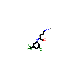 CNCCCC(C=O)Nc1cc(Cl)cc(C(F)(F)F)c1